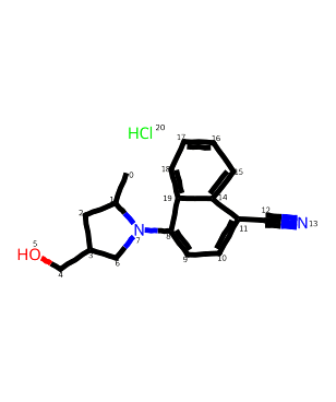 CC1CC(CO)CN1c1ccc(C#N)c2ccccc12.Cl